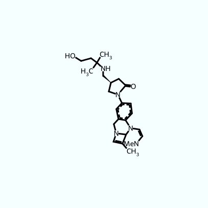 CN/C=C\N1c2ccc(N3C[C@@H](CNC(C)(C)CCO)CC3=O)cc2CN2C=C(C)C21